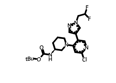 CC(C)(C)OC(=O)N[C@H]1CCCN(c2cc(Cl)ncc2-c2cnn(CC(F)F)c2)C1